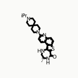 CC(C)N1CCC2(CCN(c3ccc4c(ccc5sc6c(c54)NC[C@@H](C)NC6=O)n3)CC2)CC1